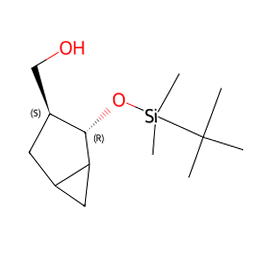 CC(C)(C)[Si](C)(C)O[C@@H]1C2CC2C[C@H]1CO